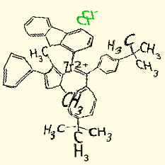 CC1=[C]([Zr+2](=[C](c2ccc(C(C)(C)C)cc2)c2ccc(C(C)(C)C)cc2)[c]2cccc3c2Cc2ccccc2-3)C(C)C=C1c1ccccc1.[Cl-].[Cl-]